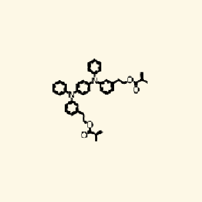 C=C(C)C(=O)OCCc1cccc(N(c2ccccc2)c2ccc(N(c3ccccc3)c3cccc(CCOC(=O)C(=C)C)c3)cc2)c1